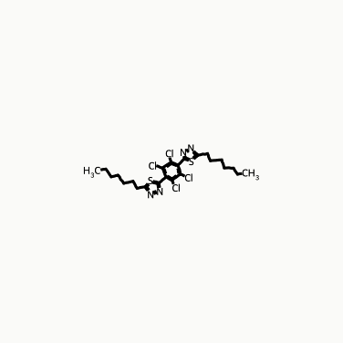 CCCCCCCc1nnc(-c2c(Cl)c(Cl)c(-c3nnc(CCCCCCC)s3)c(Cl)c2Cl)s1